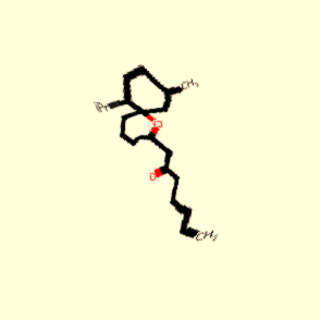 C=CCCCC(=O)CC1CCCC2(CC(C)CCC2C(C)C)O1